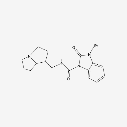 CC(C)n1c(=O)n(C(=O)NCC2CCN3CCCC23)c2ccccc21